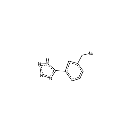 BrCc1cccc(-c2nnn[nH]2)c1